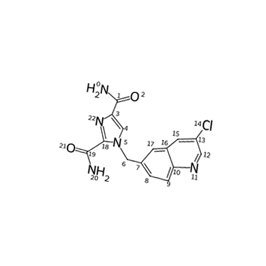 NC(=O)c1cn(Cc2ccc3ncc(Cl)cc3c2)c(C(N)=O)n1